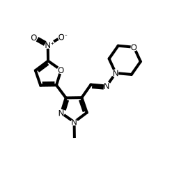 Cn1cc(C=NN2CCOCC2)c(-c2ccc([N+](=O)[O-])o2)n1